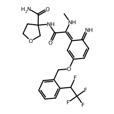 CN/C(C(=O)NC1(C(N)=O)CCOC1)=C1/C=C(OCc2ccccc2C(F)C(F)(F)F)C=CC1=N